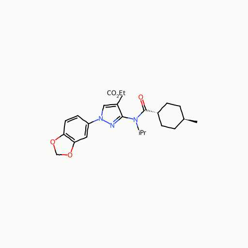 CCOC(=O)c1cn(-c2ccc3c(c2)OCO3)nc1N(C(=O)[C@H]1CC[C@H](C)CC1)C(C)C